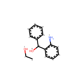 CCO.Nc1ccccc1C(O)c1ccccc1